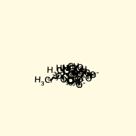 CCCCOC(=O)C1=C(C)NC(C)=C(C(=O)[C@]2(O)CO[C@@H]3[C@H](O[N+](=O)[O-])CO[C@@H]32)C1c1cccc([N+](=O)[O-])c1